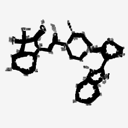 C[C@@H]1CN(c2scnc2-c2nc3ccccc3[nH]2)CCN1C(=O)CN1C(=O)C(F)(F)c2ccccc21